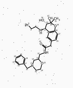 CC(C)CCN[C@@H]1c2cc(CC(=O)NCC3CN(Cc4ccccc4)CCO3)ccc2OC(C)(C)[C@H]1O